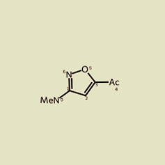 CNc1cc(C(C)=O)on1